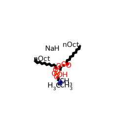 CCCCCCCC/C=C\CCCCCCCC(=O)OC[C@H](COP(=O)(O)OCC[N+](C)(C)C)OC(=O)CCCCCCC/C=C\CCCCCCCC.[NaH]